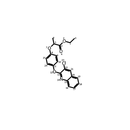 CCOC(=O)C(C)Oc1ccc(Oc2nc3ccccc3cc2Cl)cc1